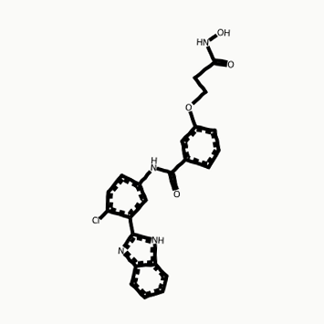 O=C(CCOc1cccc(C(=O)Nc2ccc(Cl)c(-c3nc4ccccc4[nH]3)c2)c1)NO